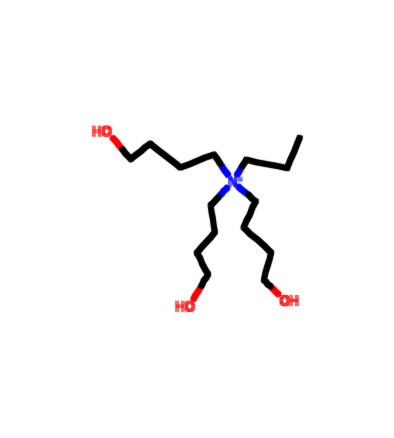 CCC[N+](CCCCO)(CCCCO)CCCCO